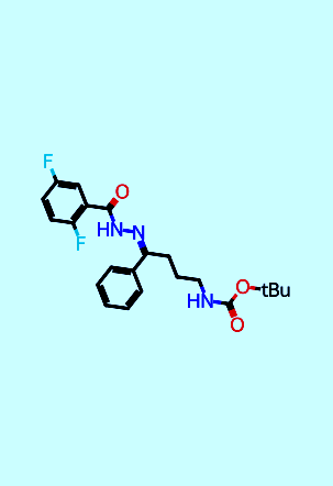 CC(C)(C)OC(=O)NCCCC(=NNC(=O)c1cc(F)ccc1F)c1ccccc1